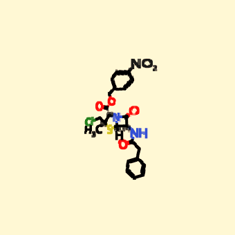 C[C@@]1(CCl)S[C@H]2[C@H](NC(=O)Cc3ccccc3)C(=O)N2[C@H]1C(=O)OCc1ccc([N+](=O)[O-])cc1